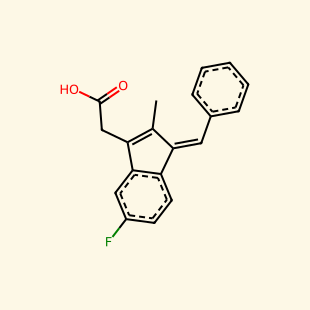 CC1=C(CC(=O)O)c2cc(F)ccc2C1=Cc1ccccc1